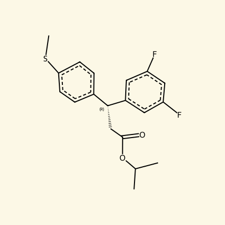 CSc1ccc([C@@H](CC(=O)OC(C)C)c2cc(F)cc(F)c2)cc1